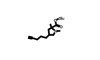 C#CCCCC1CN(C)C(C)(C(=O)OC(C)(C)C)C1